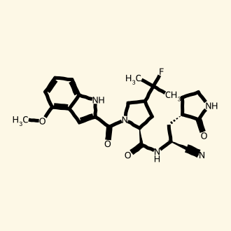 COc1cccc2[nH]c(C(=O)N3CC(C(C)(C)F)C[C@H]3C(=O)N[C@H](C#N)C[C@@H]3CCNC3=O)cc12